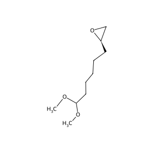 COC(CCCCC[C@@H]1CO1)OC